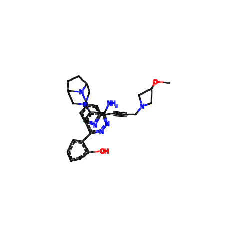 COC1CN(CC#Cc2cc(N3C4CCC3CN(c3cc(-c5ccccc5O)nnc3N)C4)ccn2)C1